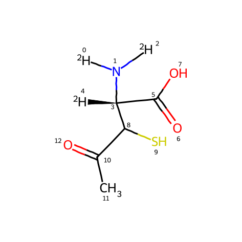 [2H]N([2H])[C@]([2H])(C(=O)O)C(S)C(C)=O